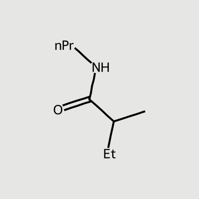 CCCNC(=O)C(C)CC